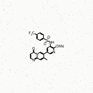 COc1ncc(-c2cn3c(=O)ccnc3cc2C)cc1NS(=O)(=O)c1ccc(C(F)(F)F)cc1